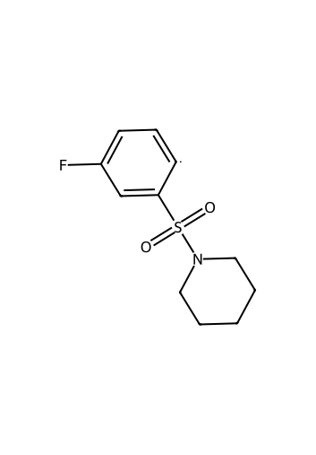 O=S(=O)(c1[c]ccc(F)c1)N1CCCCC1